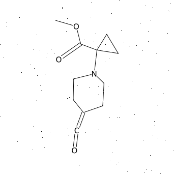 COC(=O)C1(N2CCC(=C=O)CC2)CC1